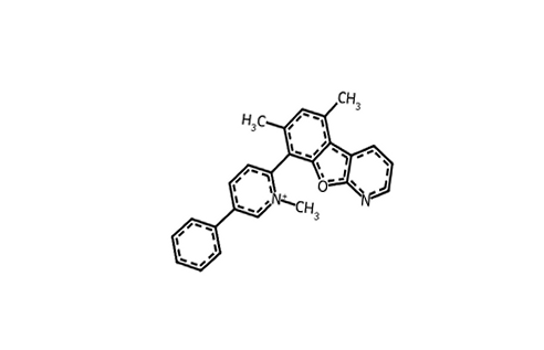 Cc1cc(C)c2c(oc3ncccc32)c1-c1ccc(-c2ccccc2)c[n+]1C